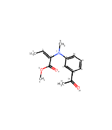 CC=C(C(=O)OC)N(C)c1cccc(C(C)=O)c1